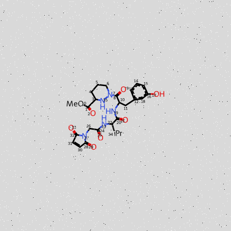 COC(=O)C1CCCN(C(=O)C(Cc2cccc(O)c2)NC(=O)C(NC(=O)CN2C(=O)C=CC2=O)C(C)C)N1